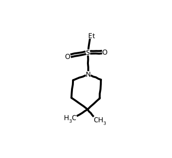 CCS(=O)(=O)N1CCC(C)(C)CC1